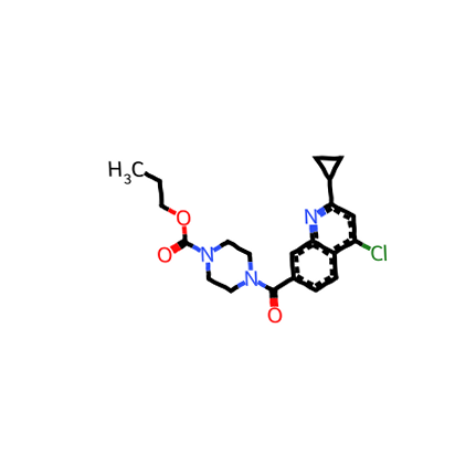 CCCOC(=O)N1CCN(C(=O)c2ccc3c(Cl)cc(C4CC4)nc3c2)CC1